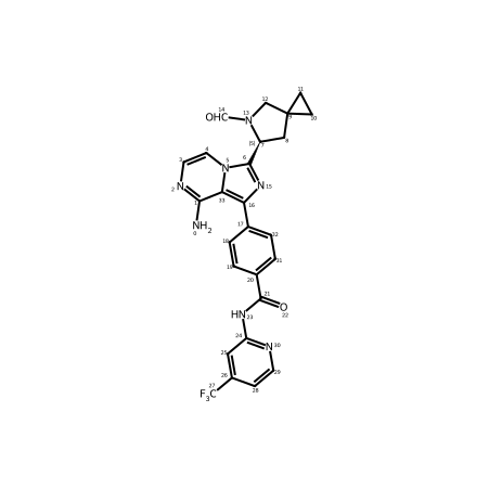 Nc1nccn2c([C@@H]3CC4(CC4)CN3C=O)nc(-c3ccc(C(=O)Nc4cc(C(F)(F)F)ccn4)cc3)c12